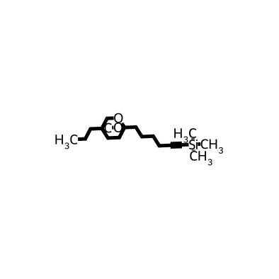 CCCC12CCC(CCCCC#C[Si](C)(C)C)(OC1)OC2